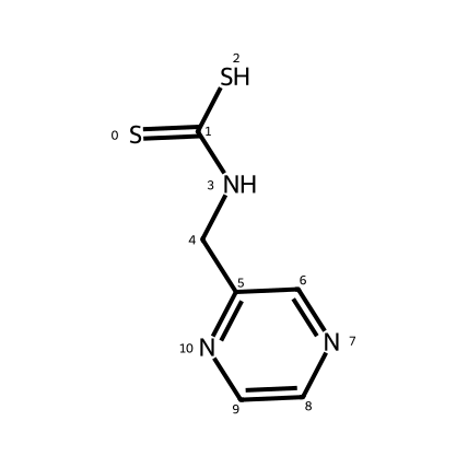 S=C(S)NCc1cnccn1